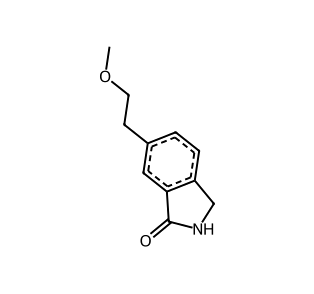 COCCc1ccc2c(c1)C(=O)NC2